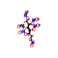 O=NOC[C@@H](ON=O)[C@@H](ON=O)[C@H](ON=O)[C@@H](CON=O)ON=O